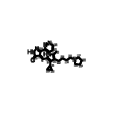 Cc1[nH]c(/C=C2/C(=O)NN=C2c2cccnn2)c(C2CC2)c1CCCCN1CCCC1